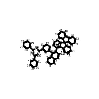 Cc1cc2ccccc2c(-c2cccc(-c3nc(-c4ccccc4)nc(-c4ccccc4)n3)c2)c1C1=C2c3ccccc3C3(c4ccccc4-c4ccccc43)[C@H]2CC=C1